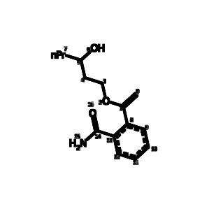 C=C(OCCC(O)CCC)c1ccccc1C(N)=O